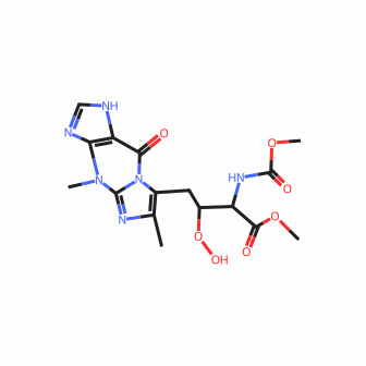 COC(=O)NC(C(=O)OC)C(Cc1c(C)nc2n(C)c3nc[nH]c3c(=O)n12)OO